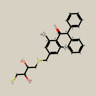 Cc1cc(CSCC(O)C(O)CS)cc(C)c1C(=O)C(c1ccccc1)c1ccccc1